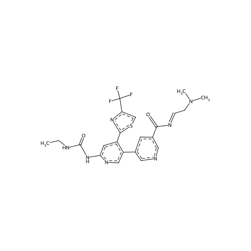 CCNC(=O)Nc1cc(-c2nc(C(F)(F)F)cs2)c(-c2cncc(C(=O)N=CCN(C)C)c2)cn1